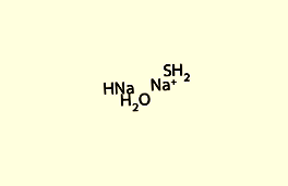 O.S.[Na+].[NaH]